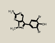 Cn1nc(-c2cc(Br)c(O)c(Br)c2)c2cnc(N)nc21